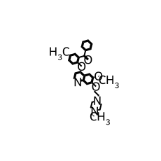 COc1cc2c(Oc3ccc(C)cc3C(=O)c3ccccc3)ccnc2cc1OCCN1CCN(C)CC1